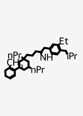 CCCC1CC(C2=C(C)CCC=C2)CC(CCC)(CCCC(=N)Cc2ccc(CC(C)C)c(CC)c2)C1